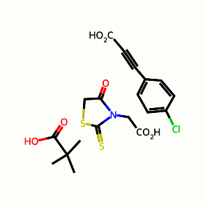 CC(C)(C)C(=O)O.O=C(O)C#Cc1ccc(Cl)cc1.O=C(O)CN1C(=O)CSC1=S